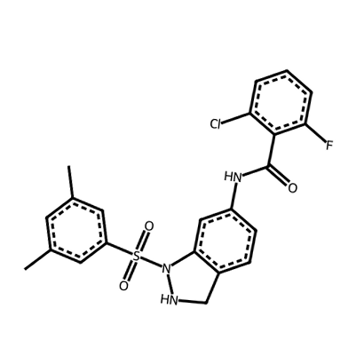 Cc1cc(C)cc(S(=O)(=O)N2NCc3ccc(NC(=O)c4c(F)cccc4Cl)cc32)c1